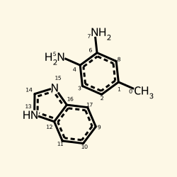 Cc1ccc(N)c(N)c1.c1ccc2[nH]cnc2c1